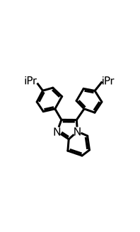 CC(C)c1ccc(-c2nc3ccccn3c2-c2ccc(C(C)C)cc2)cc1